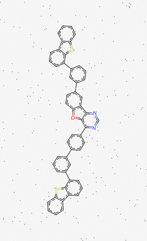 c1cc(-c2ccc(-c3ncnc4c3oc3ccc(-c5cccc(-c6cccc7c6sc6ccccc67)c5)cc34)cc2)cc(-c2cccc3c2sc2ccccc23)c1